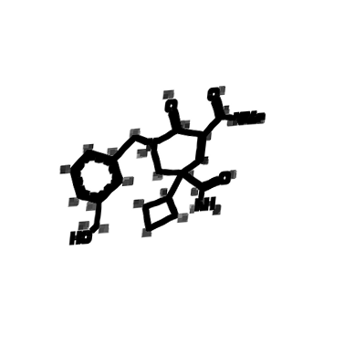 CNC(=O)C1=CC(C(N)=O)(C2CCC2)CN(Cc2cccc(CO)c2)C1=O